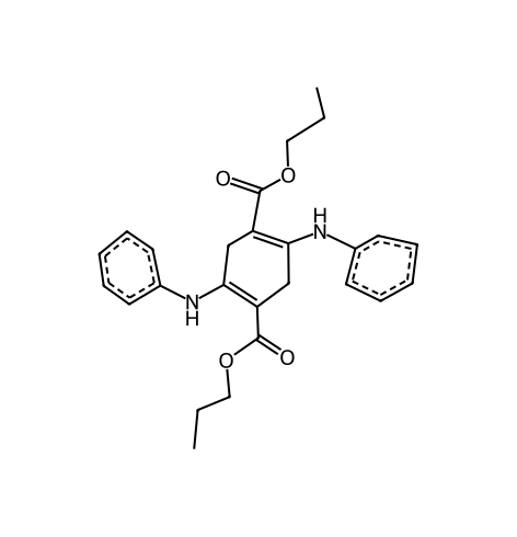 CCCOC(=O)C1=C(Nc2ccccc2)CC(C(=O)OCCC)=C(Nc2ccccc2)C1